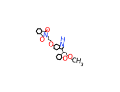 CCOC(=O)CC(c1ccccc1)c1c[nH]c2cc(OCCCN3C(=O)c4ccccc4C3=O)ccc12